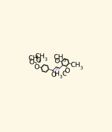 COc1ccc(C)c(OC)c1/C=C/C(=O)c1ccc(OC(OC)OC)cc1